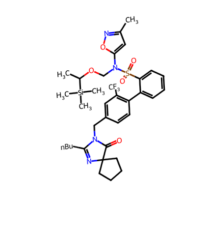 CCCCC1=NC2(CCCC2)C(=O)N1Cc1ccc(-c2ccccc2S(=O)(=O)N(COC(C)[Si](C)(C)C)c2cc(C)no2)c(C(F)(F)F)c1